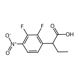 CCC(C(=O)O)c1ccc([N+](=O)[O-])c(F)c1F